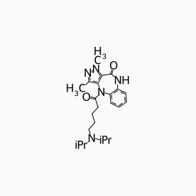 Cc1nn(C)c2c1N(C(=O)CCCCN(C(C)C)C(C)C)c1ccccc1NC2=O